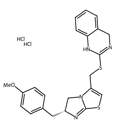 COc1ccc(C[C@@H]2CN3C(CSC4=NCc5ccccc5N4)=CSC3=N2)cc1.Cl.Cl